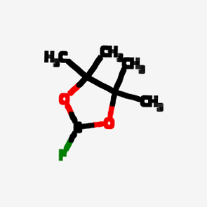 CC1(C)OB(F)OC1(C)C